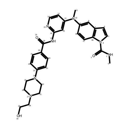 CNC(=O)n1ccc2cc(N(C)c3ccnc(NC(=O)c4ccc(N5CCN(CCO)CC5)cc4)c3)ccc21